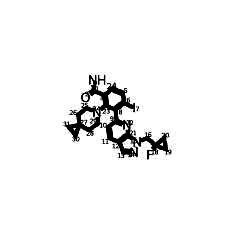 NC(=O)c1ccc(I)c(-c2ccc3cnn(CC4(F)CC4)c3n2)c1N1CCC2(CC1)CC2